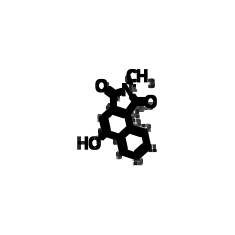 CN1C(=O)c2cc(O)c3ccccc3c2C1=O